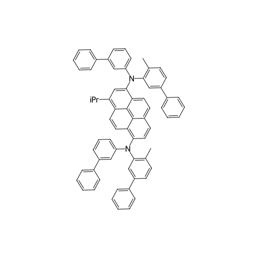 Cc1ccc(-c2ccccc2)cc1N(c1cccc(-c2ccccc2)c1)c1ccc2ccc3c(N(c4cccc(-c5ccccc5)c4)c4cc(-c5ccccc5)ccc4C)cc(C(C)C)c4ccc1c2c43